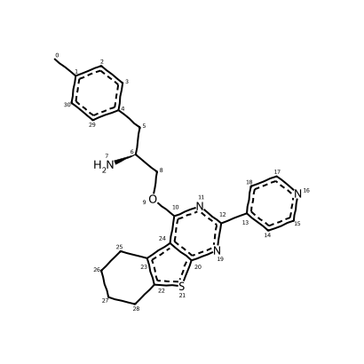 Cc1ccc(C[C@H](N)COc2nc(-c3ccncc3)nc3sc4c(c23)CCCC4)cc1